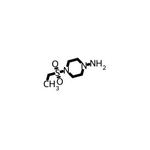 CCS(=O)(=O)N1CCN(N)CC1